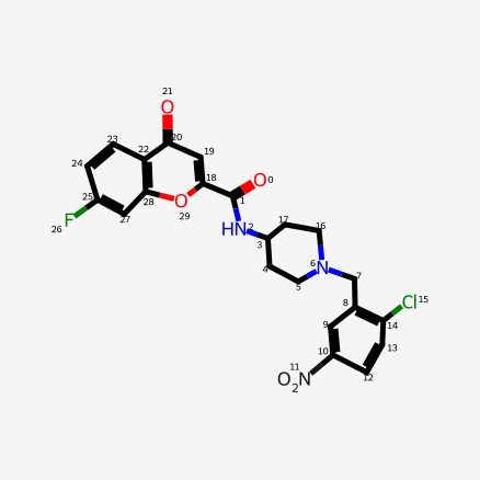 O=C(NC1CCN(Cc2cc([N+](=O)[O-])ccc2Cl)CC1)c1cc(=O)c2ccc(F)cc2o1